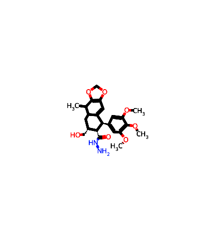 COc1cc([C@@H]2C3=CC4=C(OCO4)C(C)C3C[C@@H](CO)[C@H]2C(=O)NN)cc(OC)c1OC